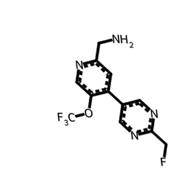 NCc1cc(-c2cnc(CF)nc2)c(OC(F)(F)F)cn1